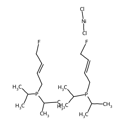 CC(C)P(CC=CCF)C(C)C.CC(C)P(CC=CCF)C(C)C.[Cl][Ni][Cl]